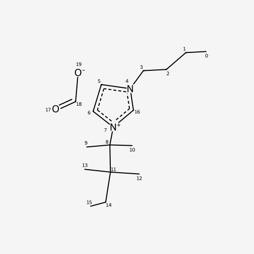 CCCCn1cc[n+](C(C)(C)C(C)(C)CC)c1.O=C[O-]